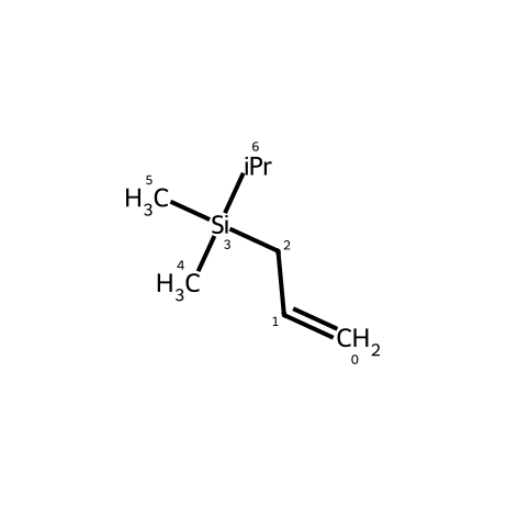 C=CC[Si](C)(C)C(C)C